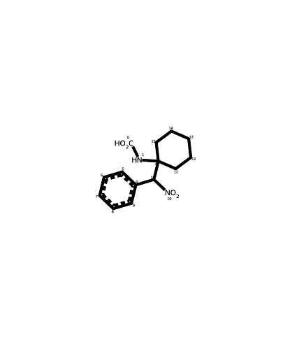 O=C(O)NC1(C(c2ccccc2)[N+](=O)[O-])CCCCC1